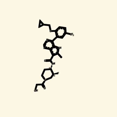 Cc1[nH]c2c(-c3cc(C(F)(F)F)ccc3OCC3CC3)ncnc2c1C(=O)N[C@H]1CCN(C(=O)CO)C[C@@H]1F